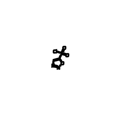 O=S(=O)(Cl)c1cnno1